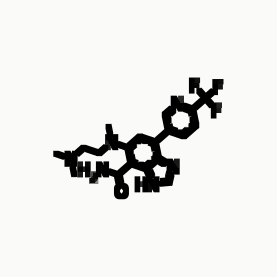 CN(C)CCN(C)c1cc(-c2ccc(C(F)(F)F)nc2)c2nc[nH]c2c1C(N)=O